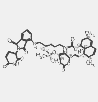 C[C@H]1C=C2C=C[C@H](C)[C@H](CC[C@@H]3C[C@@H](O[Si](C)(C)C(C)(C)C)CC(=O)O3)[C@H]2[C@@H](OC(=O)NCCCCCNc2cccc3c2C(=O)N(C2CCC(=O)NC2=O)C3=O)C1